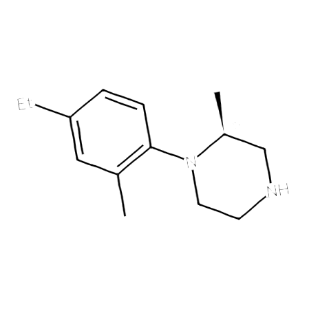 CCc1ccc(N2CCNC[C@@H]2C)c(C)c1